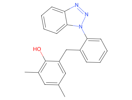 Cc1cc(C)c(O)c(Cc2ccccc2-n2nnc3ccccc32)c1